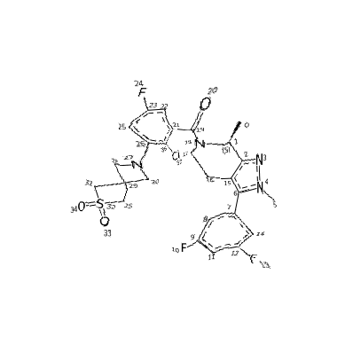 C[C@H]1c2nn(C)c(-c3cc(F)cc(F)c3)c2CCN1C(=O)c1cc(F)cc(N2CC3(C2)CS(=O)(=O)C3)c1Cl